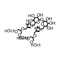 CCCCCCCCOCC(COCCCCCCCC)OCc1cn(CC2O[C@H](O[C@H]3OC(Cn4cc(COC(COCCCCCCCC)COCCCCCCCC)nn4)[C@@H](O)C(O)C3O)C(O)C(O)[C@@H]2O)nn1